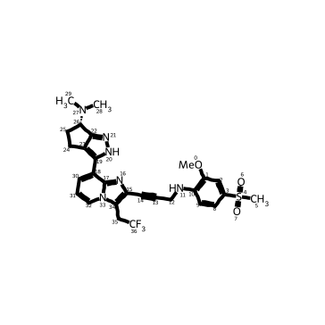 COc1cc(S(C)(=O)=O)ccc1NCC#Cc1nc2c(-c3[nH]nc4c3CC[C@@H]4N(C)C)cccn2c1CC(F)(F)F